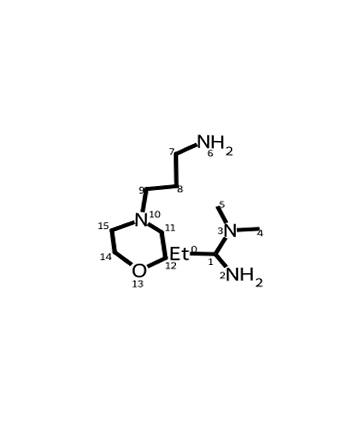 CCC(N)N(C)C.NCCCN1CCOCC1